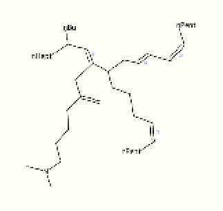 C=C(CCCCN(C)C)C/C(=C\C(CCCC)CCCCCCC)C(C/C=C/C=C\CCCCC)CCC/C=C\CCCCC